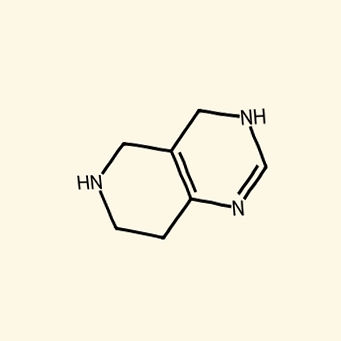 C1=NC2=C(CN1)CNCC2